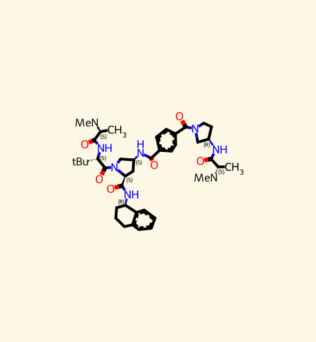 CN[C@@H](C)C(=O)N[C@@H]1CCN(C(=O)c2ccc(C(=O)N[C@H]3C[C@@H](C(=O)N[C@@H]4CCCc5ccccc54)N(C(=O)[C@@H](NC(=O)[C@H](C)NC)C(C)(C)C)C3)cc2)C1